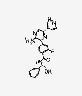 Nc1ncc(-c2ccnnc2)nc1-c1ccc(C(=O)NC(CO)c2ccccc2)c(F)c1